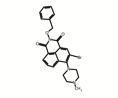 CN1CCN(c2c(Br)cc3c4c(cccc24)C(=O)N(OCc2ccccc2)C3=O)CC1